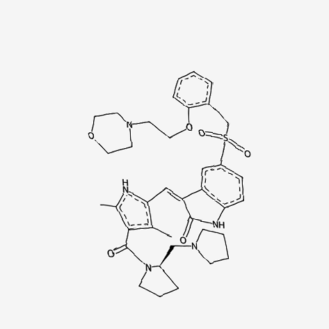 Cc1[nH]c(/C=C2\C(=O)Nc3ccc(S(=O)(=O)Cc4ccccc4OCCN4CCOCC4)cc32)c(C)c1C(=O)N1CCC[C@@H]1CN1CCCC1